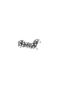 FC(F)(F)C(F)(F)C(F)(F)OC(F)(F)C(C(F)(F)F)(C(F)(F)F)C(F)(F)OC(F)(F)C(F)(F)OC(F)(F)C(F)(OC(F)(F)C(F)(C(F)(F)F)C(F)(F)F)C(F)(F)F